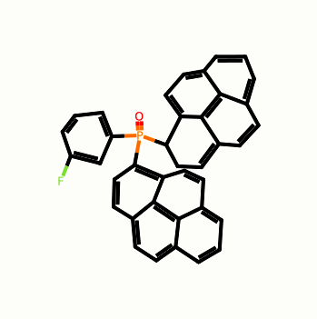 O=P(c1cccc(F)c1)(c1ccc2ccc3cccc4ccc1c2c34)C1CC=c2ccc3cccc4ccc1c2c43